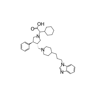 O=C(O)C(C1CCCCC1)N1C[C@H](CN2CCC(CCCn3cnc4ccccc43)CC2)[C@@H](c2ccccc2)C1